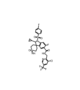 N=S1(=O)CCC2(CC1)c1cc(C(=O)NCc3ncc(C(F)(F)F)cc3Cl)c(F)cc1N(S(=O)(=O)c1ccc(F)cc1)C2C1CC1